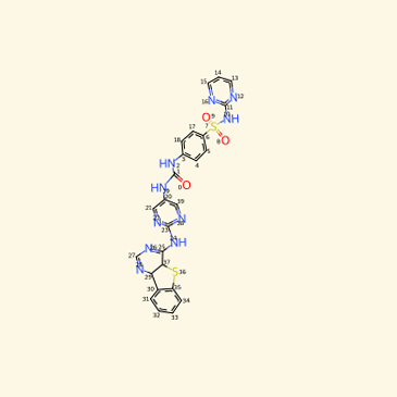 O=C(Nc1ccc(S(=O)(=O)Nc2ncccn2)cc1)Nc1cnc(NC2=NC=NC3c4ccccc4SC23)nc1